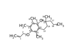 C=CCOc1c(C)c(C)c2c(c1C)CCC(C)(CCC)O2